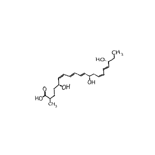 CC[C@@H](O)/C=C/C=C\C[C@@H](O)/C=C/C=C/C=C\[C@@H](O)CCC(C)C(=O)O